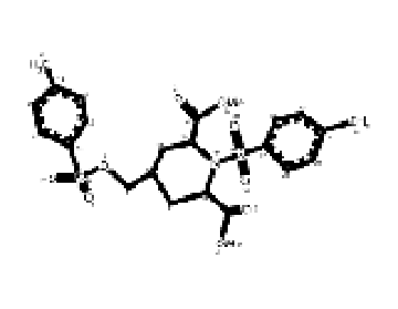 COC(=O)C1CC(COS(=O)(=O)c2ccc(C)cc2)CC(C(=O)OC)N1S(=O)(=O)c1ccc(C)cc1